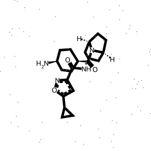 N[C@H]1CC[C@@H](C(=O)N2[C@@H]3CC[C@H]2C[C@H](NC(=O)c2cc(C4CC4)on2)C3)CC1